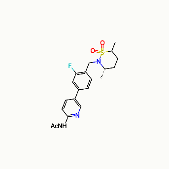 CC(=O)Nc1ccc(-c2ccc(CN3[C@@H](C)CCC(C)S3(=O)=O)c(F)c2)cn1